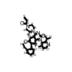 C=CC(=O)N1CCN(c2nc(=O)n(-c3c(C)ccnc3C(C)C)c3c(F)c4c(cc23)OCCc2ccccc2-4)[C@@H](C)C1